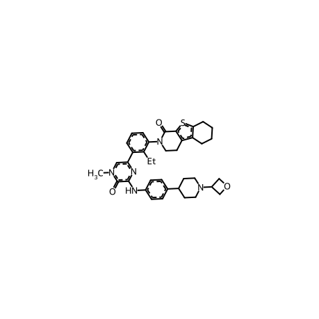 CCc1c(-c2cn(C)c(=O)c(Nc3ccc(C4CCN(C5COC5)CC4)cc3)n2)cccc1N1CCc2c(sc3c2CCCC3)C1=O